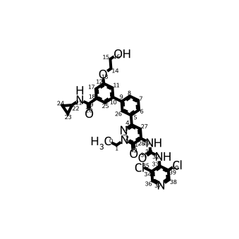 CCn1nc(-c2cccc(-c3cc(OCCO)cc(C(=O)NC4CC4)c3)c2)cc(NC(=O)Nc2c(Cl)cncc2Cl)c1=O